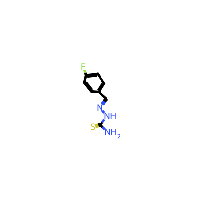 NC(=S)NN=Cc1ccc(F)cc1